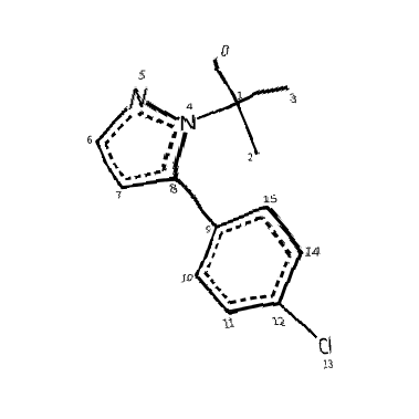 CC(C)(C)n1nccc1-c1ccc(Cl)cc1